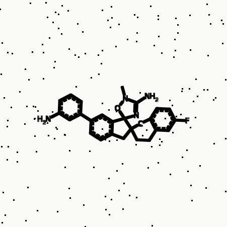 CN1OC2(N=C1N)c1cc(-c3cccc(N)c3)ccc1CC21CCc2cc(F)ccc2C1